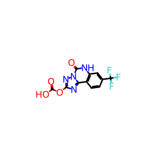 O=C(O)Oc1nc2c3ccc(C(F)(F)F)cc3[nH]c(=O)n2n1